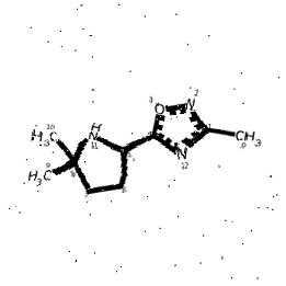 Cc1noc(C2CCC(C)(C)N2)n1